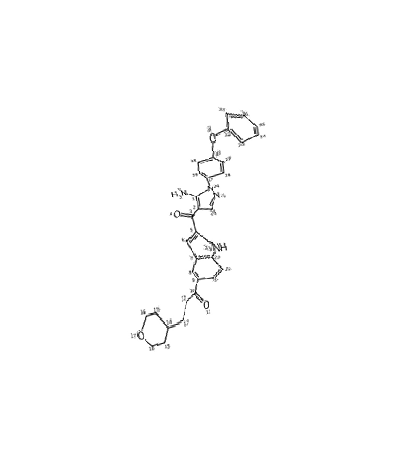 Nc1c(C(=O)c2cc3cc(C(=O)CCC4CCOCC4)ccc3[nH]2)cnn1-c1ccc(Oc2ccccc2)cc1